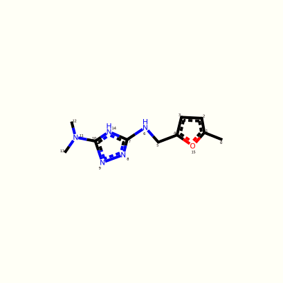 Cc1ccc(CNc2nnc(N(C)C)[nH]2)o1